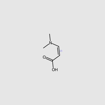 CN(C)/C=C\C(=O)O